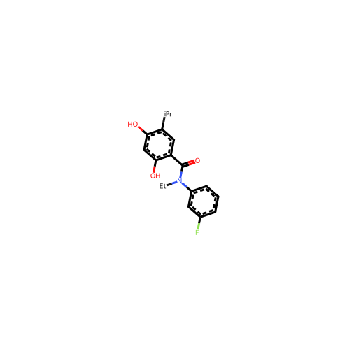 CCN(C(=O)c1cc(C(C)C)c(O)cc1O)c1cccc(F)c1